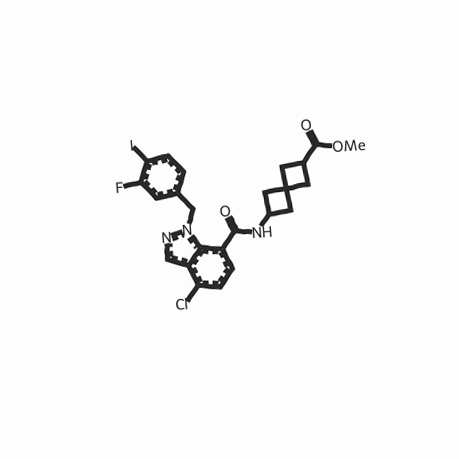 COC(=O)C1CC2(CC(NC(=O)c3ccc(Cl)c4cnn(Cc5ccc(I)c(F)c5)c34)C2)C1